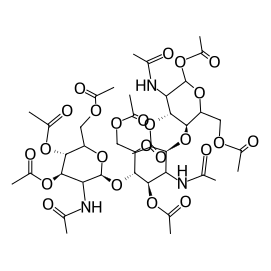 CC(=O)NC1C(OC(C)=O)OC(COC(C)=O)[C@@H](O[C@@H]2OC(COC(C)=O)[C@@H](O[C@@H]3OC(COC(C)=O)[C@@H](OC(C)=O)[C@H](OC(C)=O)C3NC(C)=O)[C@H](OC(C)=O)C2NC(C)=O)[C@@H]1OC(C)=O